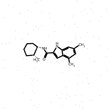 Cc1cc(C)c2cc(C(=O)N[C@H]3CCCC[C@H]3C)[nH]c2c1